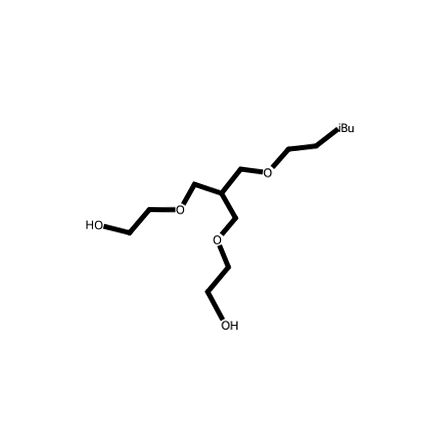 CCC(C)CCOCC(COCCO)COCCO